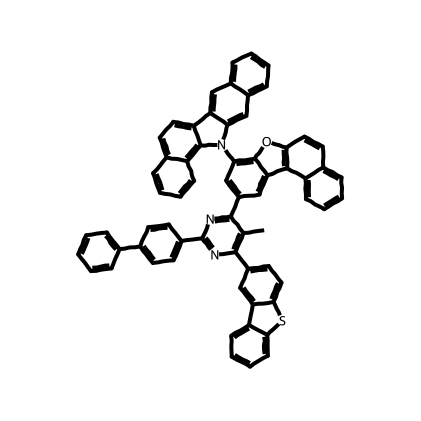 Cc1c(-c2ccc3sc4ccccc4c3c2)nc(-c2ccc(-c3ccccc3)cc2)nc1-c1cc(-n2c3cc4ccccc4cc3c3ccc4ccccc4c32)c2oc3ccc4ccccc4c3c2c1